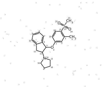 Cc1cc(OC2c3ccccc3CC2N2CCCC2)ccc1S(C)(=O)=O